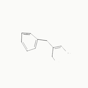 CCCCC=C(COC(C)=O)Cc1ccccc1